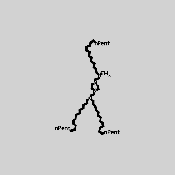 CCCCC/C=C\C/C=C\CCCCCCCCN(C)CCN1CCN(CCN(CCCCCCCC/C=C\C/C=C\CCCCC)CCCCCCCC/C=C\C/C=C\CCCCC)CC1